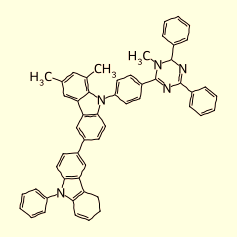 Cc1cc(C)c2c(c1)c1cc(-c3ccc4c(c3)c3c(n4-c4ccccc4)C=CCC3)ccc1n2-c1ccc(C2=NC(c3ccccc3)=NC(c3ccccc3)N2C)cc1